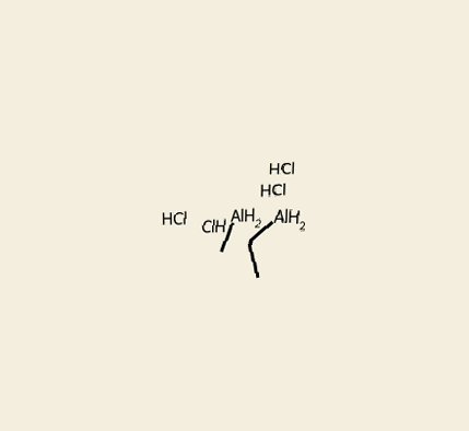 C[CH2][AlH2].Cl.Cl.Cl.Cl.[CH3][AlH2]